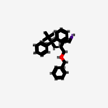 CC(C)(C)[Si](C[C@H](CCI)COCc1ccccc1)(c1ccccc1)c1ccccc1